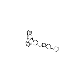 c1c[nH]c(CN(Cc2nccs2)C2CCC(CN3CCC4(CCN(C5CCCCC5)CC4)C3)CC2)n1